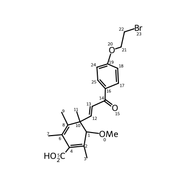 COC1C(C)=C(C(=O)O)C(C)=C(C)C1(C)C=CC(=O)c1ccc(OCCBr)cc1